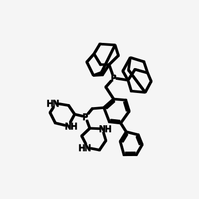 c1ccc(-c2ccc(CP(C34CC5CC(CC(C5)C3)C4)C34CC5CC(CC(C5)C3)C4)c(CP(C3CNCCN3)C3CNCCN3)c2)cc1